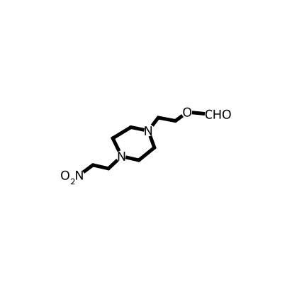 O=COCCN1CCN(CC[N+](=O)[O-])CC1